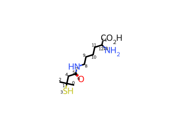 CC(C)(S)CC(=O)NCCCCC(N)C(=O)O